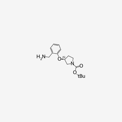 CC(C)(C)OC(=O)N1CC[C@H](Oc2ccccc2CN)C1